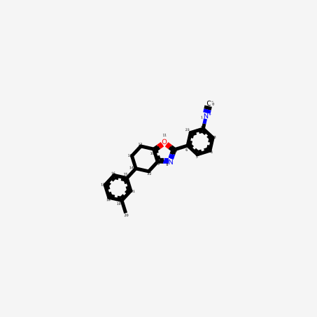 [C-]#[N+]c1cccc(-c2nc3c(o2)CCC(c2cccc(C)c2)C3)c1